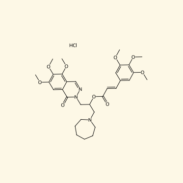 COc1cc(C=CC(=O)OC(CN2CCCCCC2)Cn2ncc3c(OC)c(OC)c(OC)cc3c2=O)cc(OC)c1OC.Cl